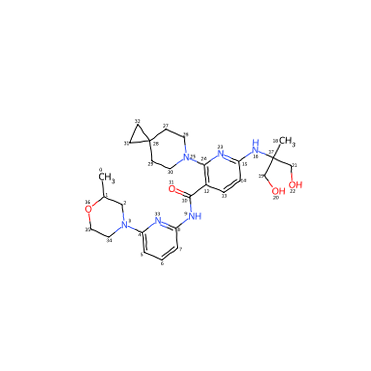 CC1CN(c2cccc(NC(=O)c3ccc(NC(C)(CO)CO)nc3N3CCC4(CC3)CC4)n2)CCO1